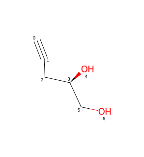 C#CC[C@@H](O)CO